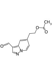 CC(=O)OCCc1ccn2ncc(C=O)c2c1